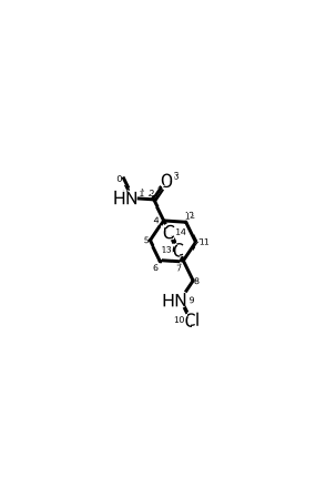 CNC(=O)C12CCC(CNCl)(CC1)CC2